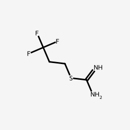 N=C(N)SCCC(F)(F)F